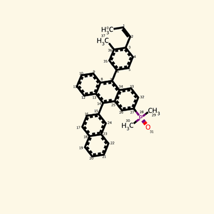 C/C=C\c1ccc(-c2c3ccccc3c(-c3ccc4ccccc4c3)c3cc(P(C)(C)=O)ccc23)cc1C